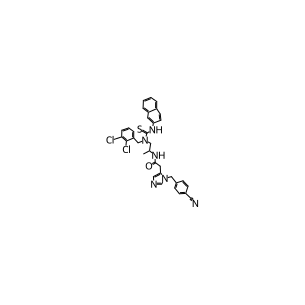 CC(CN(Cc1cccc(Cl)c1Cl)C(=S)Nc1ccc2ccccc2c1)NC(=O)Cc1cncn1Cc1ccc(C#N)cc1